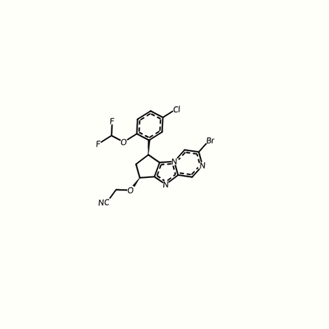 N#CCO[C@H]1C[C@@H](c2cc(Cl)ccc2OC(F)F)c2c1nc1cnc(Br)cn21